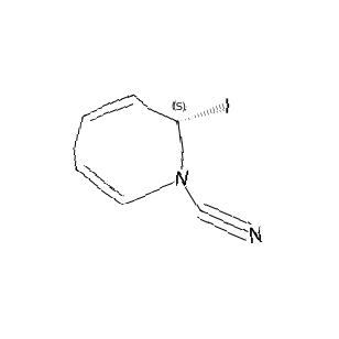 N#CN1C=CC=C[C@@H]1I